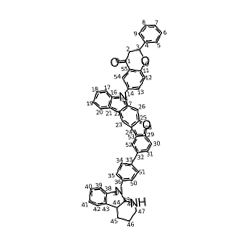 O=C1CC(c2ccccc2)Oc2ccc(-n3c4ccccc4c4cc5c(cc43)oc3ccc(-c4ccc(N6c7ccccc7C7CCCNC76)cc4)cc35)cc21